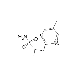 Cc1cnc(CC(C)S(N)(=O)=O)nc1